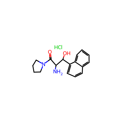 Cl.NC(C(=O)N1CCCC1)C(O)c1cccc2ccccc12